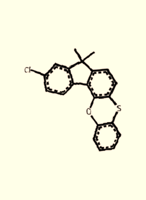 CC1(C)c2cc(Cl)ccc2-c2c1ccc1c2Oc2ccccc2S1